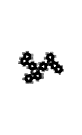 c1ccc2cc3c(cc2c1)c1ccccc1n3-c1ccc(N(c2ccc(-c3cccc4ccccc34)cc2)c2cccc3c2sc2ccccc23)cc1